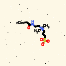 CCCCCCCCCCCC(=O)NCC[N+](C)(C)CCCS(=O)(=O)[O-]